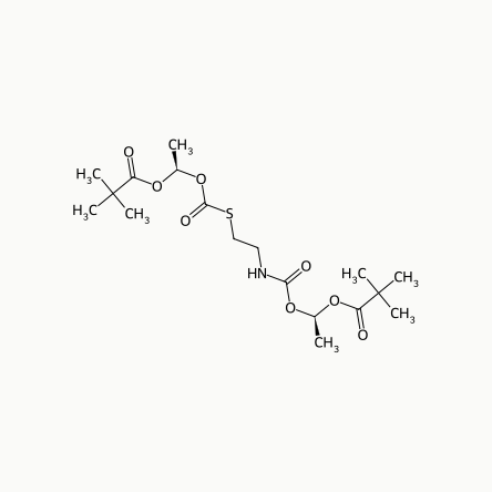 C[C@@H](OC(=O)NCCSC(=O)O[C@H](C)OC(=O)C(C)(C)C)OC(=O)C(C)(C)C